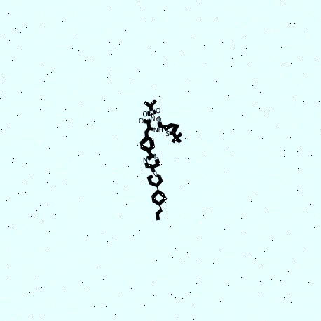 CCC[C@H]1CC[C@H](C2CCN(c3cnc(-c4ccc(CC(NC(=O)c5ccc(C(C)(C)C)s5)C(=O)NS(=O)(=O)C(C)C)cc4)nc3)CC2)CC1